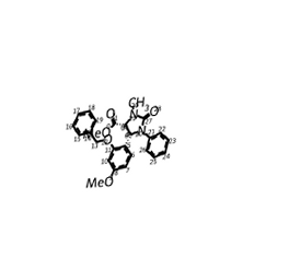 COC(=O)[C@H]1[C@@H](c2ccc(OC)cc2OCc2ccccc2)N(c2ccccc2)C(=O)N1C